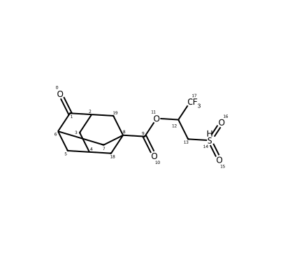 O=C1C2CC3CC1CC(C(=O)OC(C[SH](=O)=O)C(F)(F)F)(C3)C2